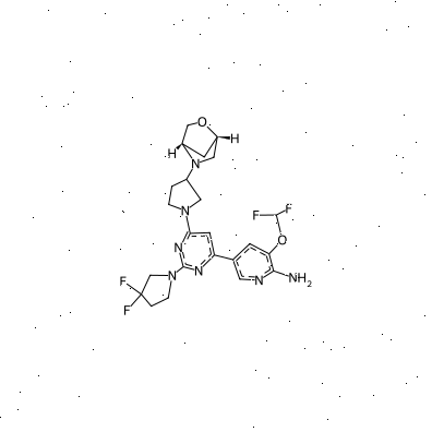 Nc1ncc(-c2cc(N3CCC(N4C[C@@H]5C[C@H]4CO5)C3)nc(N3CCC(F)(F)C3)n2)cc1OC(F)F